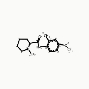 CCCN1CCCCC1C(=O)Nc1ccc(OC(F)(F)F)cc1C